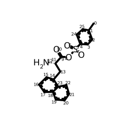 Cc1ccc(S(=O)(=O)OC(=O)[C@@H](N)Cc2cccc3ccccc23)cc1